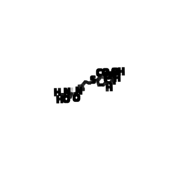 C[C@@](N)(CO)C(=O)N1CC(CCSc2ccc3c(c2C(=O)O)OB(O)[C@@H]2C[C@H]32)C1